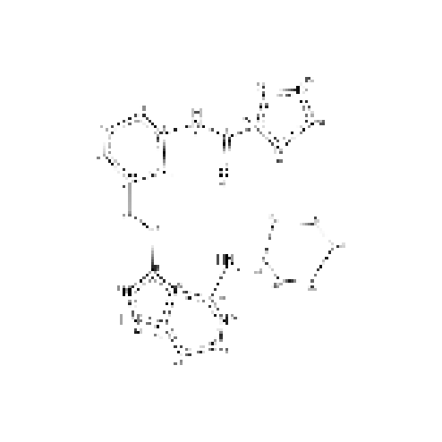 O=C(Nc1cccc(CCc2n[nH]c3ccnc(NC4CCCCC4)c23)c1)c1cocn1